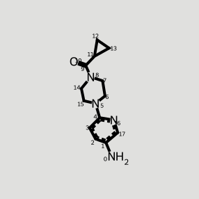 Nc1ccc(N2CCN(C(=O)C3CC3)CC2)nc1